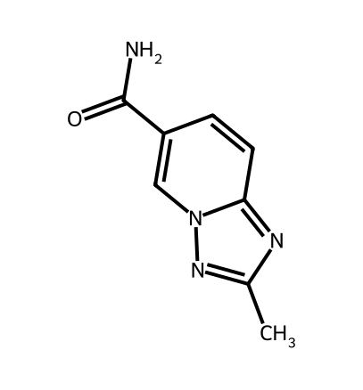 Cc1nc2ccc(C(N)=O)cn2n1